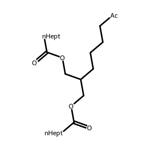 CCCCCCCC(=O)OCC(CCCCC(C)=O)COC(=O)CCCCCCC